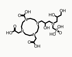 O=C(O)CN1CCN(CC(=O)O)CCN(C(=O)O)CCN(CC(O)CN(CC(O)CO)CP(=O)(O)O)CC1